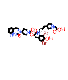 O=C(O)CN1CCC(C=C=C=NC(=O)[C@@H](Cc2cc(Br)c(O)c(Br)c2)OC(=O)N2CCC(N3CCc4ccccc4NC3=O)CC2)CC1